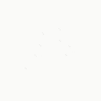 CN(C)CCNC(=O)c1cc2c(N(C)c3cccnc3N(C)S(C)(=O)=O)c(C#N)cnc2[nH]1